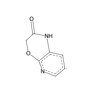 O=C1COc2nc[c]cc2N1